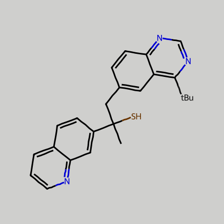 CC(C)(C)c1ncnc2ccc(CC(C)(S)c3ccc4cccnc4c3)cc12